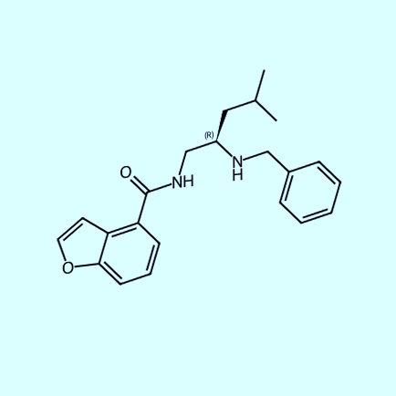 CC(C)C[C@H](CNC(=O)c1cccc2occc12)NCc1ccccc1